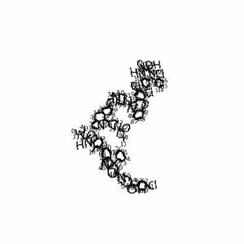 CCN(CC)CC(=O)Nc1c(C)cccc1C.CCOC(=O)N1CCC(=C2c3ccc(Cl)cc3CCc3cccnc32)CC1.CN(C)C(=O)C(CCN1CCC(O)(c2ccc(Cl)cc2)CC1)(c1ccccc1)c1ccccc1.CN1CCN(C2=Nc3ccccc3Oc3ccc(Cl)cc32)CC1.O=C1Nc2ccc(Cl)cc2C(c2ccccc2Cl)=NC1O